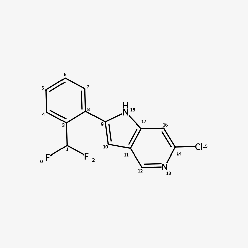 FC(F)c1ccccc1-c1cc2cnc(Cl)cc2[nH]1